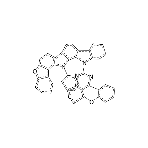 c1ccc(-n2c3c(ccc4oc5ccccc5c43)c3ccc4c5ccccc5n(-c5nc6c7c(cccc7n5)Oc5ccccc5-6)c4c32)cc1